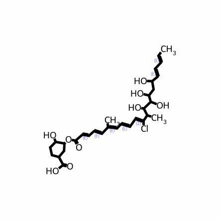 C/C=C/C=C/C(O)CC(O)C(O)C(O)C(C)/C(Cl)=C/C=C/C=C(C)/C=C/C=C/C(=O)OC1CC(C(=O)O)CCC1O